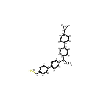 C[C@@H](c1ccc(-c2ccc(CS)cc2)cc1)c1ccc(-c2ccc(C3CC3)cc2)cc1